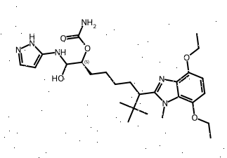 CCOc1ccc(OCC)c2c1nc(C(CCCC[C@H](OC(N)=O)C(O)Nc1ccn[nH]1)C(C)(C)C)n2C